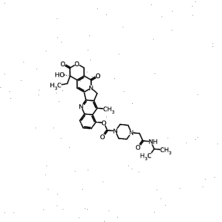 CC[C@@]1(O)C(=O)OCc2c1cc1n(c2=O)Cc2c-1nc1cccc(OC(=O)N3CCN(CC(=O)NC(C)C)CC3)c1c2C